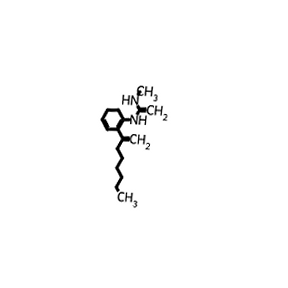 C=C(NC)NC1=C(C(=C)CCCCCC)C=CCC1